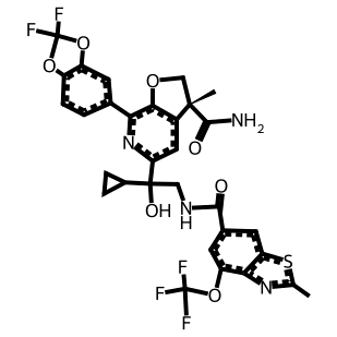 Cc1nc2c(OC(F)(F)F)cc(C(=O)NCC(O)(c3cc4c(c(-c5ccc6c(c5)OC(F)(F)O6)n3)OC[C@]4(C)C(N)=O)C3CC3)cc2s1